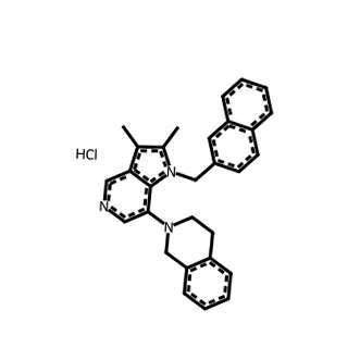 Cc1c(C)n(Cc2ccc3ccccc3c2)c2c(N3CCc4ccccc4C3)cncc12.Cl